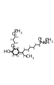 CCC(CCCCCCC(=O)NC)c1ccc(O)c(OCCCOC)c1